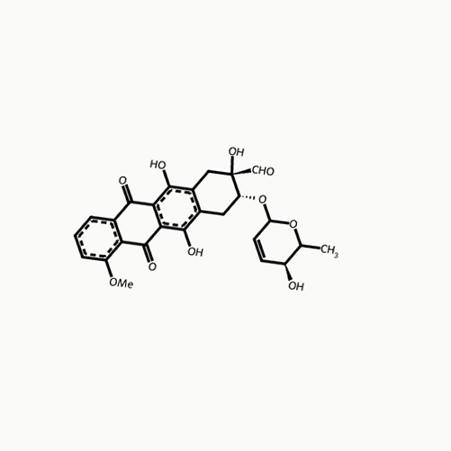 COc1cccc2c1C(=O)c1c(O)c3c(c(O)c1C2=O)C[C@@](O)(C=O)[C@H](OC1C=C[C@H](O)C(C)O1)C3